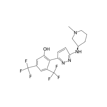 CN1CCC[C@@H](Nc2ccc(-c3c(O)cc(C(F)(F)F)cc3C(F)(F)F)nn2)C1